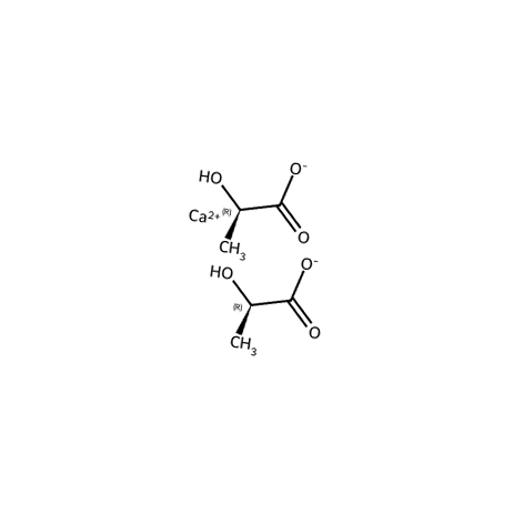 C[C@@H](O)C(=O)[O-].C[C@@H](O)C(=O)[O-].[Ca+2]